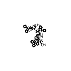 Cc1cc(SCC2=C(C(=O)OC(c3ccccc3)c3ccccc3)N3C(=O)[C@@H](NC(=O)C(=NOC(=S)CCC#N)c4nc(C(c5ccccc5)(c5ccccc5)c5ccccc5)sc4N)[C@H]3SC2)n2nc(C(=O)OC(c3ccccc3)c3ccccc3)nc2n1